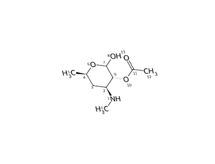 CN[C@H]1C[C@@H](C)OC(O)[C@@H]1OC(C)=O